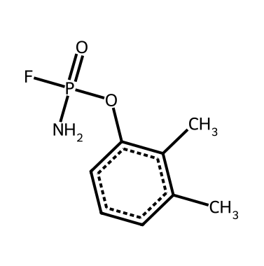 Cc1cccc(OP(N)(=O)F)c1C